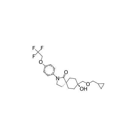 O=C1N(c2ccc(OCC(F)(F)F)cc2)CC[C@]12CC[C@@](O)(COCC1CC1)CC2